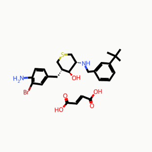 CC(C)(C)c1cccc(CN[C@H]2CSC[C@@H](Cc3ccc(N)c(Br)c3)[C@@H]2O)c1.O=C(O)C=CC(=O)O